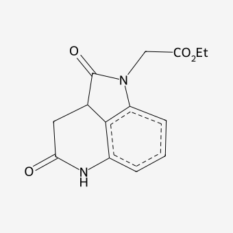 CCOC(=O)CN1C(=O)C2CC(=O)Nc3cccc1c32